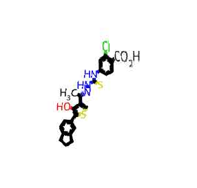 C/C(=N\NC(=S)Nc1ccc(C(=O)O)c(Cl)c1)c1csc(-c2ccc3c(c2)CCC3)c1O